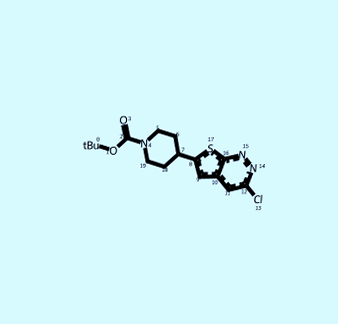 CC(C)(C)OC(=O)N1CCC(c2cc3cc(Cl)nnc3s2)CC1